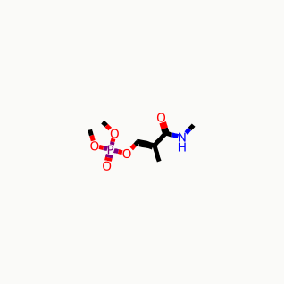 CNC(=O)/C(C)=C/OP(=O)(OC)OC